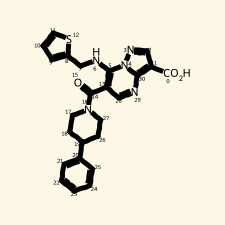 O=C(O)c1cnn2c(NCc3cccs3)c(C(=O)N3CCC(c4ccccc4)CC3)cnc12